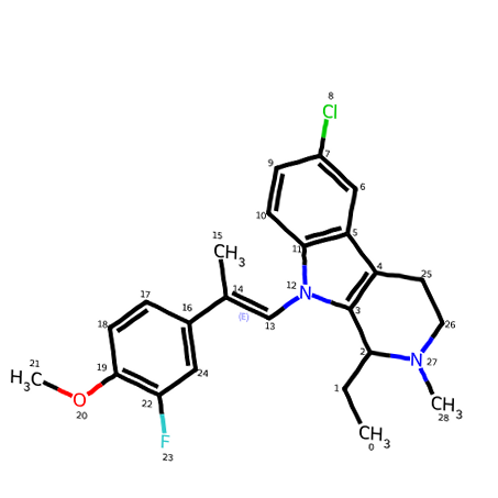 CCC1c2c(c3cc(Cl)ccc3n2/C=C(\C)c2ccc(OC)c(F)c2)CCN1C